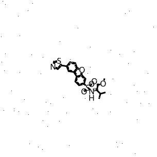 COC(=O)[C@@H](NS(=O)(=O)c1ccc2c(c1)oc1ccc(-c3cncs3)cc12)C(C)C